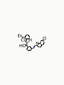 CCC(C(=O)O)c1ccccc1CC[C@H](O)c1cccc(/C=C/c2ccc3ccc(Cl)cc3n2)c1